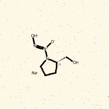 [Na].[O-][N+](=NO)N1CCC[C@H]1CO